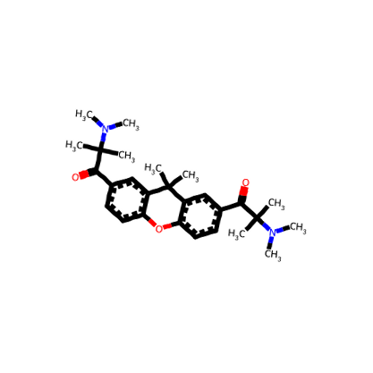 CN(C)C(C)(C)C(=O)c1ccc2c(c1)C(C)(C)c1cc(C(=O)C(C)(C)N(C)C)ccc1O2